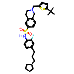 CC(C)(C)c1ccc(CN2CCc3cc(S(=O)(=O)Nc4ccc(CCCC5CCCC5)cc4F)ccc3C2)s1